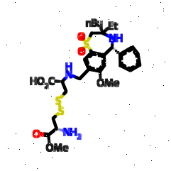 CCCC[C@]1(CC)CS(=O)(=O)c2cc(CN[C@@H](CSSC[C@H](N)C(=O)OC)C(=O)O)c(OC)cc2[C@@H](c2ccccc2)N1